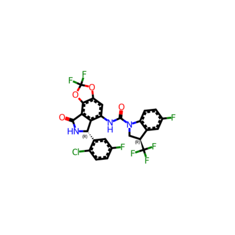 O=C1N[C@@H](c2cc(F)ccc2Cl)c2c(NC(=O)N3C[C@H](C(F)(F)F)c4cc(F)ccc43)cc3c(c21)OC(F)(F)O3